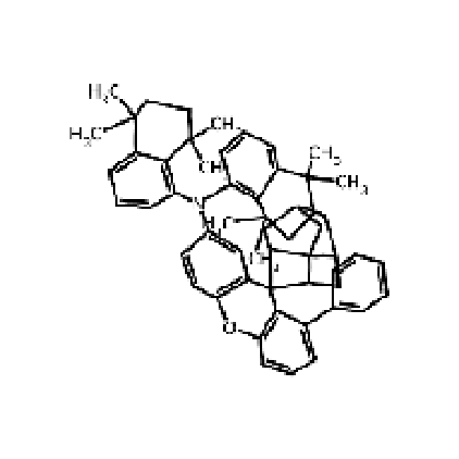 CC1(C)CCC(C)(C)c2c(N(c3ccc4c(c3)C3(c5c(cccc5-c5ccccc5)O4)C4CC5CC6CC3C64C5)c3cccc4c3C(C)(C)CCC4(C)C)cccc21